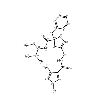 Cc1nn(C(C)C)cc1C(=O)NCC1=NOC(Cc2ccccc2)(C(=O)NC(CC(C)C)B(O)O)C1